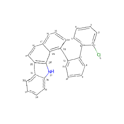 Clc1ccccc1-c1ccccc1-c1cccc2ccc3c4ccccc4[nH]c3c12